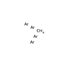 C.[Ar].[Ar].[Ar].[Ar]